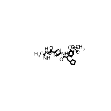 CC(=N)NOC(=O)c1cnc(NC(=O)C(CC2CCCC2)c2ccc(S(C)(=O)=O)c(Cl)c2)cn1